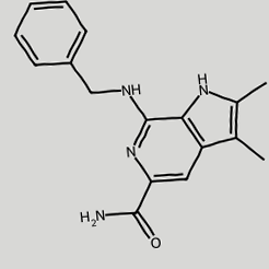 Cc1[nH]c2c(NCc3ccccc3)nc(C(N)=O)cc2c1C